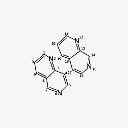 c1cnc2ccncc2c1.c1cnc2cnccc2c1